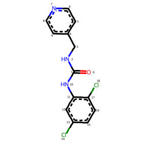 O=C(NCc1ccncc1)Nc1cc(Cl)ccc1Cl